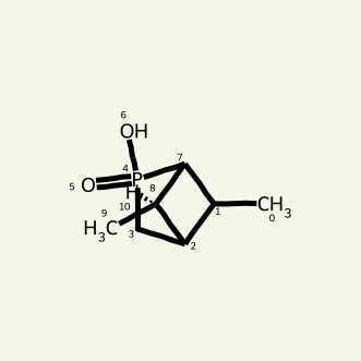 CC1C2CP(=O)(O)C1[C@@H]2C